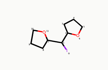 IC(C1CCCO1)C1CCCO1